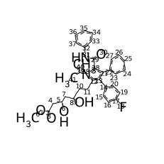 COC(=O)C[C@H](O)C[C@H](O)CCc1c(-c2ccc(F)cc2)c(-c2ccccc2)c(C(=O)Nc2ccccc2)n1C(C)C